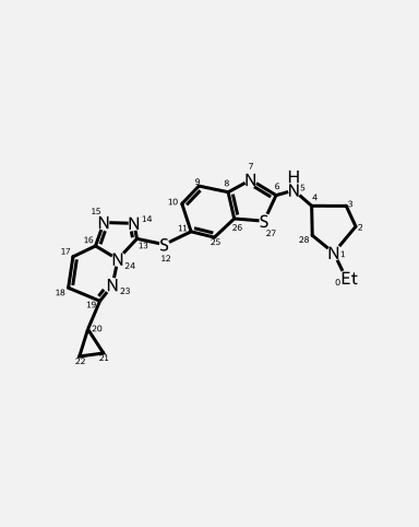 CCN1CCC(Nc2nc3ccc(Sc4nnc5ccc(C6CC6)nn45)cc3s2)C1